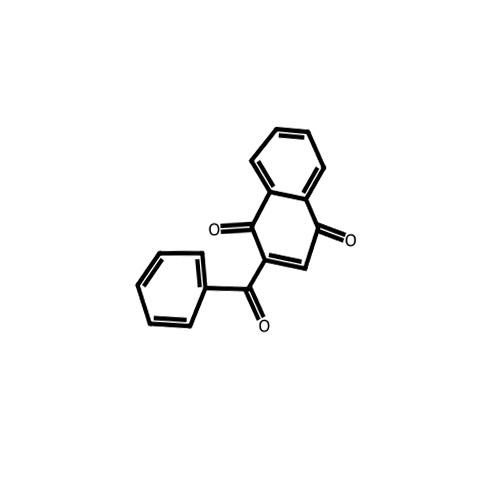 O=C(C1=CC(=O)c2ccccc2C1=O)c1ccccc1